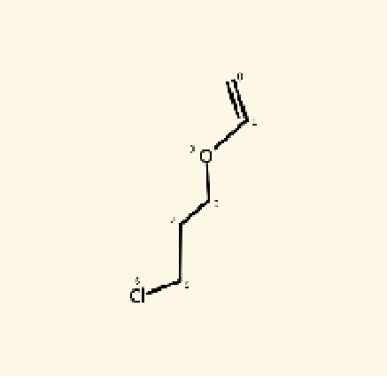 C=COCCCCl